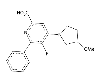 COC1CCN(c2cc(C(=O)O)nc(-c3ccccc3)c2F)C1